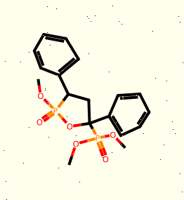 COP1(=O)OC(c2ccccc2)(P(=O)(OC)OC)CC1c1ccccc1